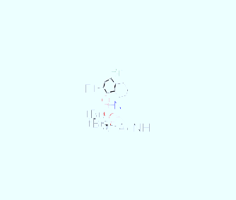 CCc1cc(Br)c2c(c1)[C@@H](N(C[C@H](CNC(C)=O)O[Si](C)(C)C(C)(C)C)C(=O)OC(C)(C)C)CCC2